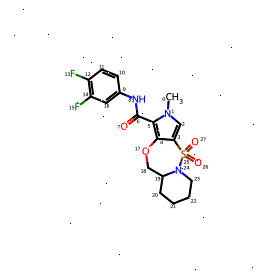 Cn1cc2c(c1C(=O)Nc1ccc(F)c(F)c1)OCC1CCCCN1S2(=O)=O